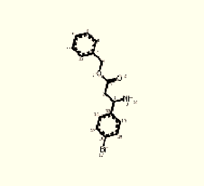 NC(CC(=O)OCc1ccccc1)c1ccc(Br)cc1